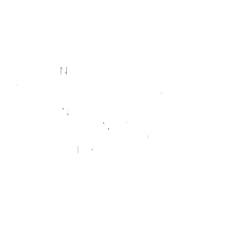 Cn1c(=O)c(Oc2ccccc2)cc2cnc(C=S)nc21